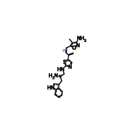 C=C(/C=C\c1onc(N)c1C)c1cnc(NC[C@@H](N)Cc2c[nH]c3ccccc23)s1